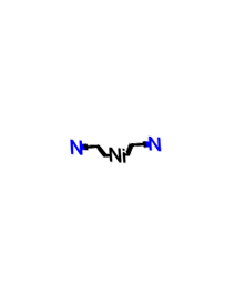 N#CC=[CH][Ni][CH]=CC#N